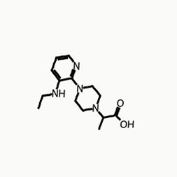 CCNc1cccnc1N1CCN(C(C)C(=O)O)CC1